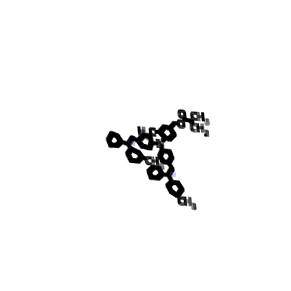 C=C(C)C(=O)OCc1ccc(N(c2ccc(/C=C(/c3ccccc3)c3cccc(C)c3)cc2)c2ccc(/C=C(\c3ccccc3)c3ccc(C)cc3)cc2)c(C)c1